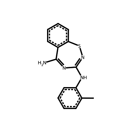 Cc1ccccc1NC1=NSc2ccccc2C(N)=N1